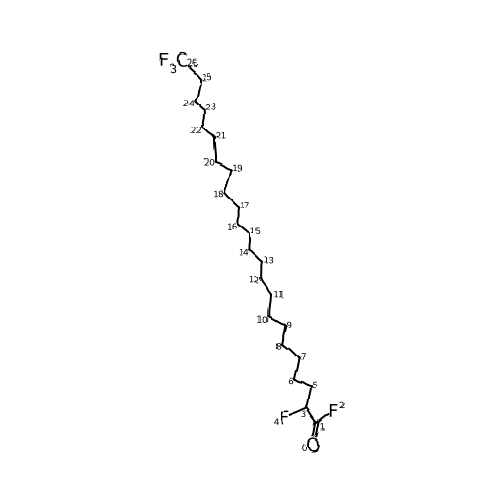 O=C(F)C(F)CCCCCCCCCCCCCCCCCCCCCC(F)(F)F